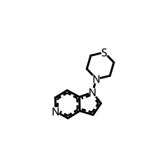 c1cc2c(ccn2N2CCSCC2)cn1